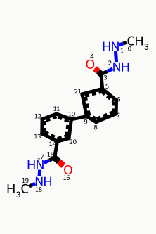 CNNC(=O)c1cccc(-c2cccc(C(=O)NNC)c2)c1